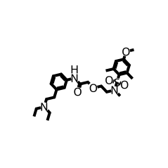 CCN(CC)CCc1cccc(NC(=O)COCCN(C)S(=O)(=O)c2c(C)cc(OC)cc2C)c1